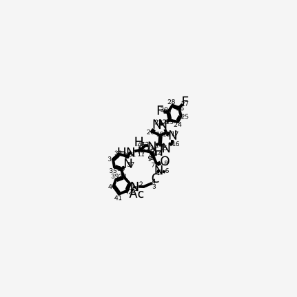 CC(=O)N1CCCN(C)C(=O)[C@@H]2C[C@@H](CN2c2ncnc3c2cnn3-c2ccc(F)cc2F)Nc2cccc(n2)-c2ccccc21